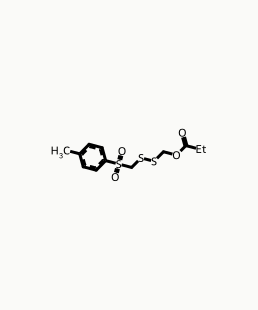 CCC(=O)OCSSCS(=O)(=O)c1ccc(C)cc1